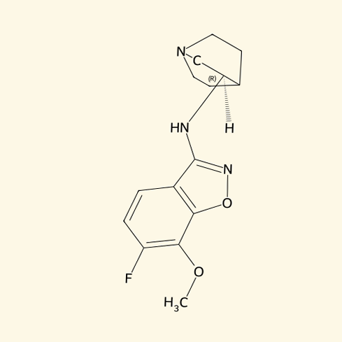 COc1c(F)ccc2c(N[C@H]3CN4CCC3CC4)noc12